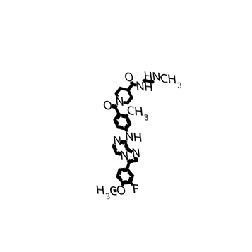 CNCCNC(=O)C1CCN(C(=O)c2ccc(Nc3nccn4c(-c5ccc(OC)c(F)c5)cnc34)cc2C)CC1